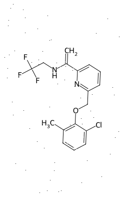 C=C(NCC(F)(F)F)c1cccc(COc2c(C)cccc2Cl)n1